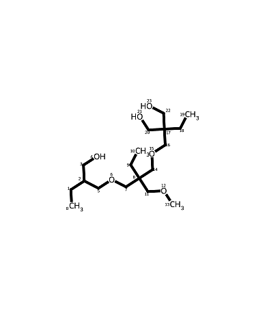 CCC(CO)COCC(CC)(COC)COCC(CC)(CO)CO